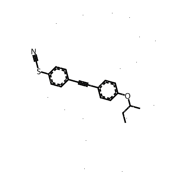 CCC(C)Oc1ccc(C#Cc2ccc(SC#N)cc2)cc1